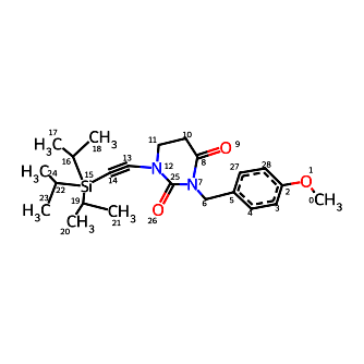 COc1ccc(CN2C(=O)CCN(C#C[Si](C(C)C)(C(C)C)C(C)C)C2=O)cc1